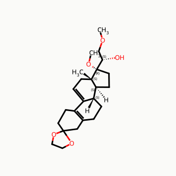 COC[C@H](O)[C@@]1(OC)CC[C@H]2[C@@H]3CCC4=C(CCC5(C4)OCCO5)C3=CC[C@@]21C